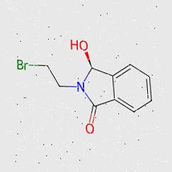 O=C1c2ccccc2[C@H](O)N1CCBr